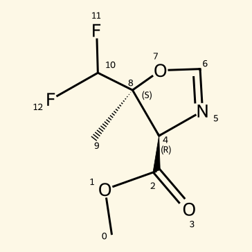 COC(=O)[C@@H]1N=CO[C@]1(C)C(F)F